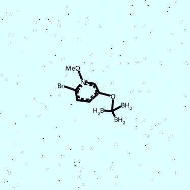 BC(B)(B)Oc1ccc(Br)[n+](OC)c1